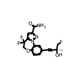 C[C@](O)(C#Cc1ccc2c(c1)-n1nc(C(N)=O)cc1C(F)(F)CO2)CF